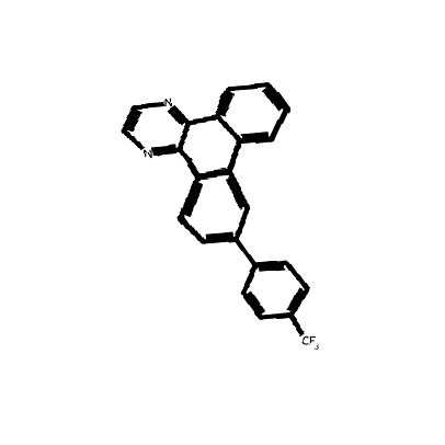 FC(F)(F)c1ccc(-c2ccc3c(c2)c2ccccc2c2nccnc32)cc1